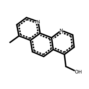 Cc1ccnc2c1ccc1c(CO)ccnc12